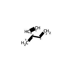 C#C.C=CC=C